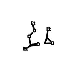 CCC1CO1.CCOOC(=O)CC